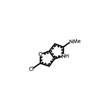 CNc1cc2oc(Cl)cc2[nH]1